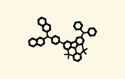 CC1(C)c2cccc3c2-n2c4c1cc(-c1ccc(N(c5ccc6ccccc6c5)c5ccc6ccccc6c5)cc1)cc4c1cc(N(c4ccccc4)c4ccccc4)cc(c12)C3(C)C